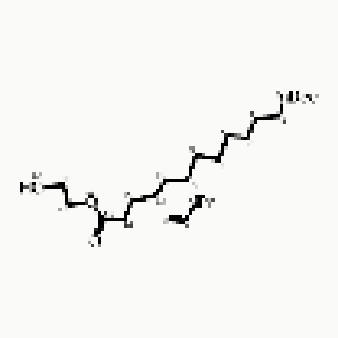 C=CC(C)C.CCCCCCCCCCCCCCCCCCCCCC(=O)OCCO